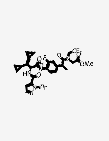 COC(=O)CN(CC(F)(F)F)C(=O)C(C)c1ccc(NC(=O)[C@@H](NC(=O)c2ccnn2C(C)C)C(=C2CC2)C2CC2)c(F)c1